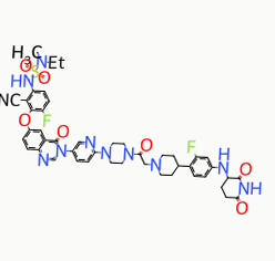 CCN(C)S(=O)(=O)Nc1ccc(F)c(Oc2ccc3ncn(-c4ccc(N5CCN(C(=O)CN6CCC(c7ccc(NC8CCC(=O)NC8=O)cc7F)CC6)CC5)nc4)c(=O)c3c2)c1C#N